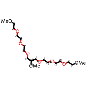 COCCOCCOCCOCC(COCCOCCOCCOC)OC